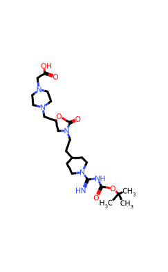 CC(C)(C)OC(=O)NC(=N)N1CCC(CCN2CC(CN3CCN(CC(=O)O)CC3)OC2=O)CC1